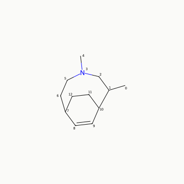 CC1CN(C)CCC2C=CC1CC2